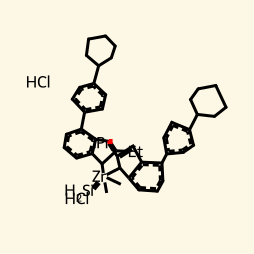 CCC1=Cc2c(-c3ccc(C4CCCCC4)cc3)cccc2[CH]1[Zr]([CH3])([CH3])(=[SiH2])[CH]1C(C(C)C)=Cc2c(-c3ccc(C4CCCCC4)cc3)cccc21.Cl.Cl